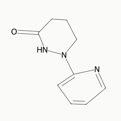 O=C1CCCN(c2ccccn2)N1